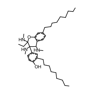 CCCCCCCCCc1ccc2c(c1)OC(CC)(NC)C(NC)(c1ccc(O)c(CCCCCCCCC)c1)C2NC